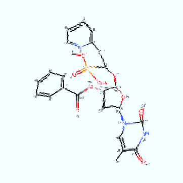 COP(=O)(O)C(Cc1ccccn1)O[C@H]1O[C@@H](n2cc(C)c(=O)[nH]c2=O)C[C@@H]1OC(=O)c1ccccc1